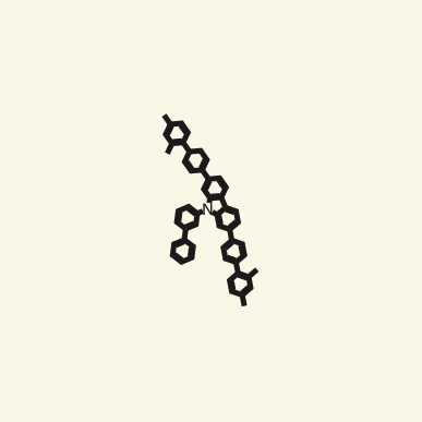 Cc1ccc(-c2ccc(-c3ccc4c5ccc(C6=CCC(c7ccc(C)cc7C)C=C6)cc5n(-c5cccc(-c6ccccc6)c5)c4c3)cc2)c(C)c1